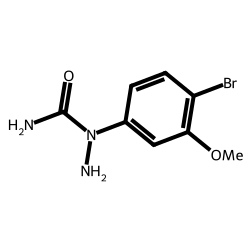 COc1cc(N(N)C(N)=O)ccc1Br